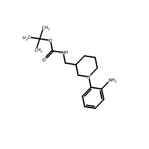 CC(C)(C)OC(=O)NCC1CCCN(c2ccccc2N)C1